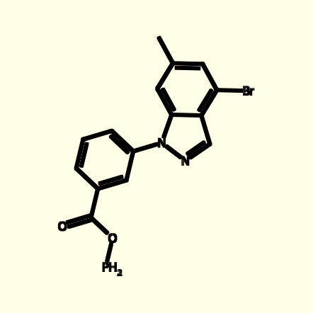 Cc1cc(Br)c2cnn(-c3cccc(C(=O)OP)c3)c2c1